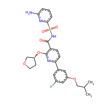 CC(C)COc1cc(F)cc(-c2ccc(C(=O)NS(=O)(=O)c3cccc(N)n3)c(O[C@H]3CCOC3)n2)c1